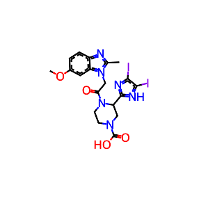 COc1ccc2nc(C)n(CC(=O)N3CCN(C(=O)O)CC3c3nc(I)c(I)[nH]3)c2c1